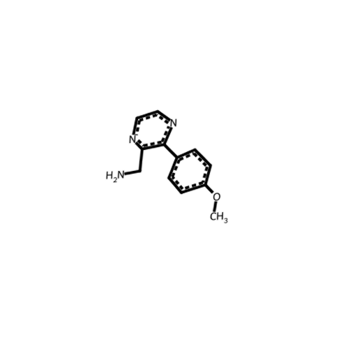 COc1ccc(-c2nccnc2CN)cc1